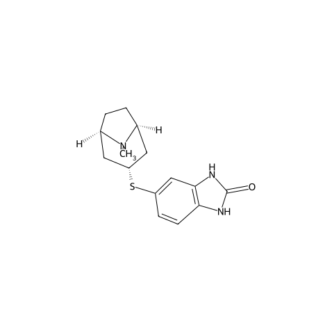 CN1[C@@H]2CC[C@H]1C[C@H](Sc1ccc3[nH]c(=O)[nH]c3c1)C2